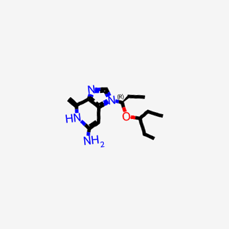 C=C1NC(N)=Cc2c1ncn2[C@@H](CC)OC(CC)CC